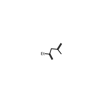 C=C(C)CC(=C)CC